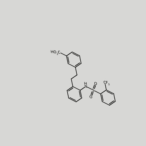 O=C(O)c1cccc(CCc2ccccc2NS(=O)(=O)c2ccccc2C(F)(F)F)c1